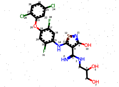 N=C(NCC(O)CO)c1c(O)nsc1Nc1cc(F)c(Oc2cc(Cl)ccc2Cl)cc1F